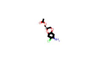 CC(=O)OC[C@H]1COc2cc(N)c(Cl)cc2O1